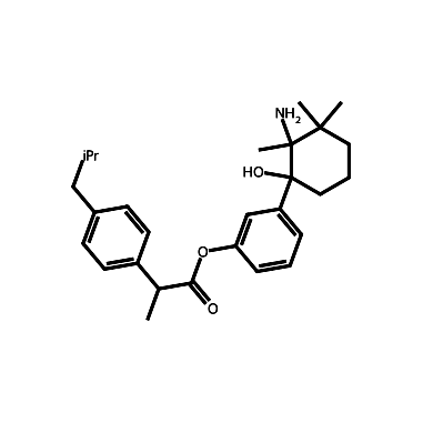 CC(C)Cc1ccc(C(C)C(=O)Oc2cccc(C3(O)CCCC(C)(C)C3(C)N)c2)cc1